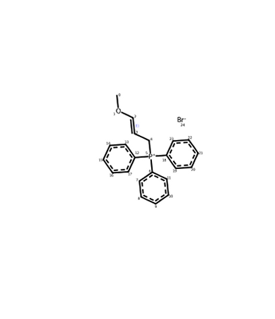 CO/C=C/C[P+](c1ccccc1)(c1ccccc1)c1ccccc1.[Br-]